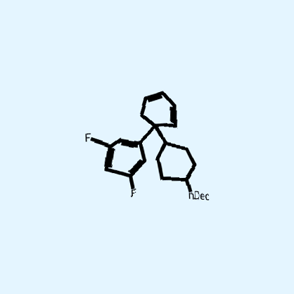 CCCCCCCCCCC1CCC(C2(c3cc(F)cc(F)c3)C=CC=CC2)CC1